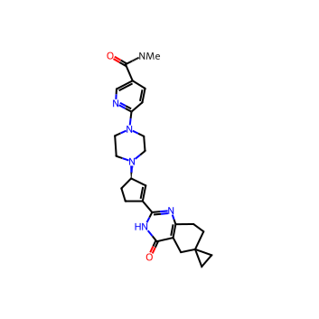 CNC(=O)c1ccc(N2CCN([C@H]3C=C(c4nc5c(c(=O)[nH]4)CC4(CC5)CC4)CC3)CC2)nc1